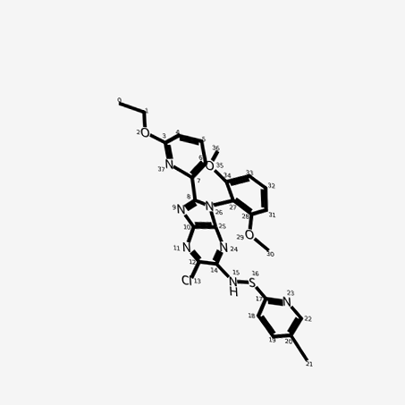 CCOc1cccc(-c2nc3nc(Cl)c(NSc4ccc(C)cn4)nc3n2-c2c(OC)cccc2OC)n1